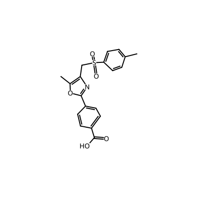 Cc1ccc(S(=O)(=O)Cc2nc(-c3ccc(C(=O)O)cc3)oc2C)cc1